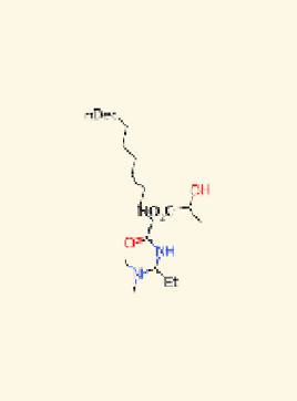 CC(O)C(=O)O.CCCCCCCCCCCCCCCCCC(=O)NC(CC)N(C)C